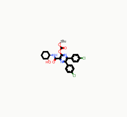 CC(C)(C)OC(=O)Oc1nc(-c2ccc(Cl)cc2)c(-c2ccc(Cl)cc2)nc1C(=O)N[C@@H]1CCCC[C@H]1O